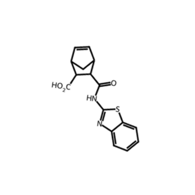 O=C(O)C1C2C=CC(C2)C1C(=O)Nc1nc2ccccc2s1